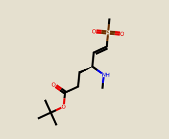 CN[C@H](/C=C/S(C)(=O)=O)CCC(=O)OC(C)(C)C